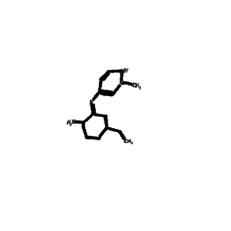 CCC1CCC(N)C(=NC2=CN(C)NC=C2)C1